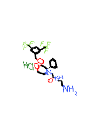 Cl.NCCCNC(=O)CN1CCO[C@H](OCc2cc(C(F)(F)F)cc(C(F)(F)F)c2)[C@@H]1c1ccccc1